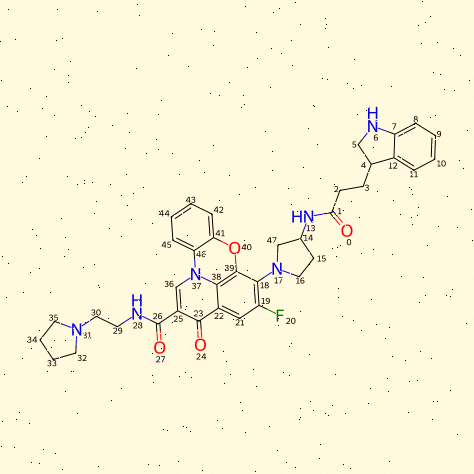 O=C(CCC1CNc2ccccc21)NC1CCN(c2c(F)cc3c(=O)c(C(=O)NCCN4CCCC4)cn4c3c2Oc2ccccc2-4)C1